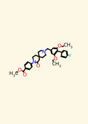 CCOc1cc(CN2CCC3(CC2)CCN(c2ccc(C(=O)OC)cc2)C(=O)C3)cc(OCC)c1-c1ccc(F)cc1